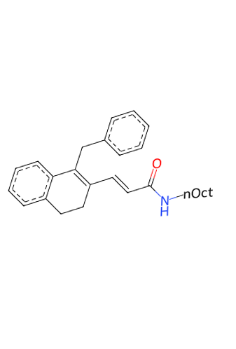 CCCCCCCCNC(=O)C=CC1=C(Cc2ccccc2)c2ccccc2CC1